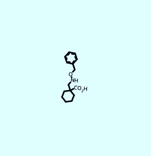 O=C(O)C1(CNOCc2ccccc2)CCCCC1